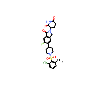 Cc1cccc(Cl)c1S(=O)(=O)N1CCC(c2cc3c(cc2F)C(=O)N(C2CCC(=O)NC2=O)C3)CC1